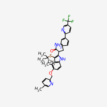 Cc1ccc(COc2ccc3[nH]c(C(Cc4ccc(-c5ccc(C(F)(F)F)cn5)cc4)C(N)=O)c(SC(C)(C)C)c3c2C)nc1